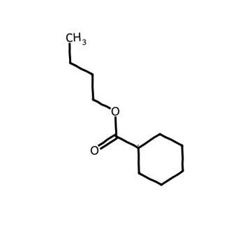 CCCCOC(=O)[C]1CCCCC1